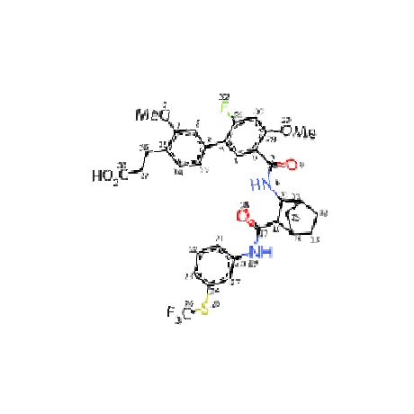 COc1cc(-c2cc(C(=O)NC3C4CCC(C4)C3C(=O)Nc3cccc(SC(F)(F)F)c3)c(OC)cc2F)ccc1CCC(=O)O